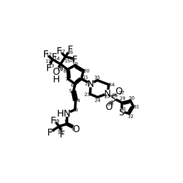 O=C(NCC#Cc1cc(C(O)(C(F)(F)F)C(F)(F)F)ccc1N1CCN(S(=O)(=O)c2cccs2)CC1)C(F)(F)F